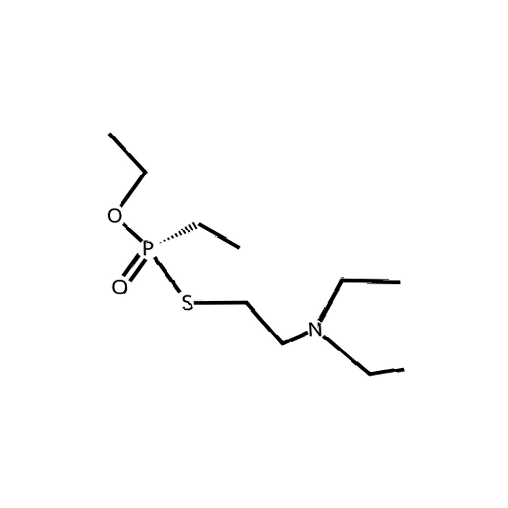 CCO[P@@](=O)(CC)SCCN(CC)CC